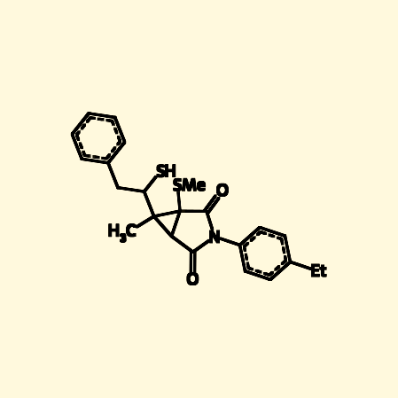 CCc1ccc(N2C(=O)C3C(SC)(C2=O)C3(C)C(S)Cc2ccccc2)cc1